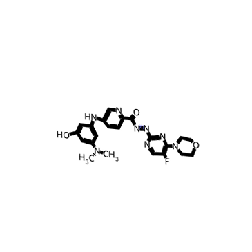 CN(C)c1cc(O)cc(Nc2ccc(C(=O)/N=N/c3ncc(F)c(N4CCOCC4)n3)nc2)c1